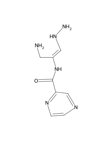 NC/C(=C\NN)NC(=O)c1cnccn1